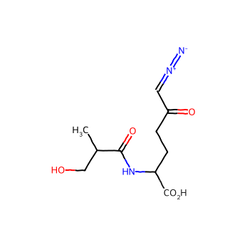 CC(CO)C(=O)NC(CCC(=O)C=[N+]=[N-])C(=O)O